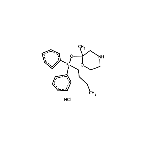 CCCC[Si](OC1(C)CNCCO1)(c1ccccc1)c1ccccc1.Cl